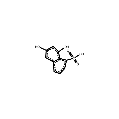 O=S(=O)(O)c1cccc2cc(O)[c]c(O)c12